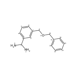 NC(N)c1cccc(COCc2ccccc2)c1